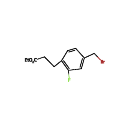 CCOC(=O)CCc1ccc(CBr)cc1F